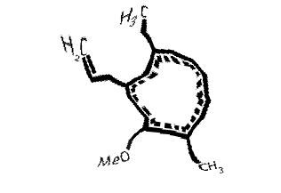 C=Cc1c(C)ccc(C)c1OC